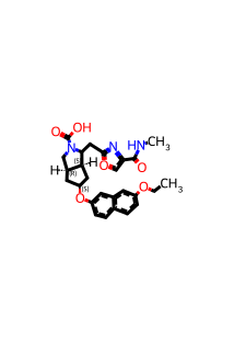 CCOc1ccc2ccc(O[C@H]3C[C@H]4CN(C(=O)O)C(Cc5nc(C(=O)NC)co5)[C@H]4C3)cc2c1